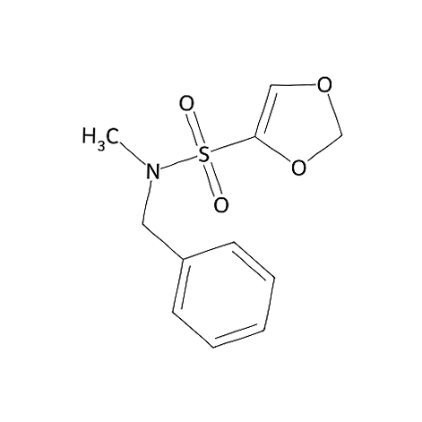 CN(Cc1ccccc1)S(=O)(=O)C1=COCO1